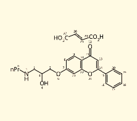 CCCNCC(O)COc1ccc2c(=O)cc(-c3ccccc3)oc2c1.O=C(O)C=CC(=O)O